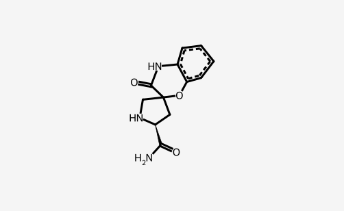 NC(=O)[C@@H]1CC2(CN1)Oc1ccccc1NC2=O